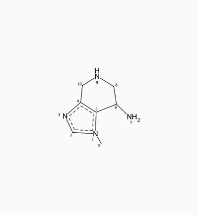 Cn1cnc2c1C(N)CNC2